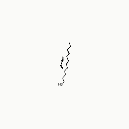 C=CC#N.CCCCCCCCCCCCS